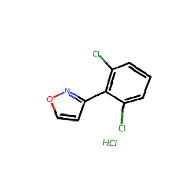 Cl.Clc1cccc(Cl)c1-c1ccon1